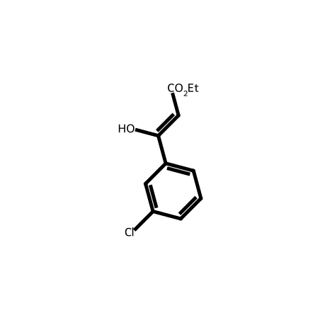 CCOC(=O)/C=C(\O)c1cccc(Cl)c1